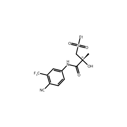 CCS(=O)(=O)C[C@](C)(O)C(=O)Nc1ccc(C#N)c(C(F)(F)F)c1